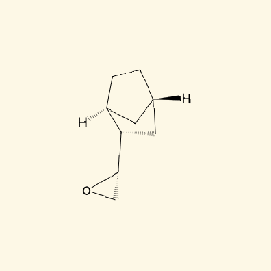 C1C[C@H]2C[C@H]1C[C@@H]2[C@@H]1CO1